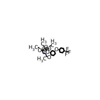 CCOC(=O)/C=C(\OP(=O)(OCC)OCC)C(C)Oc1ccc(Oc2ccc(C(F)(F)F)cc2)cc1